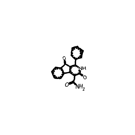 NC(=O)c1c2c(c(-c3ccccc3)[nH]c1=O)C(=O)c1ccccc1-2